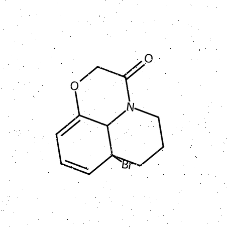 O=C1COC2=CC=CC3(Br)CCCN1C23